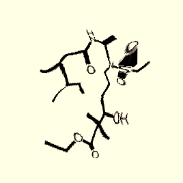 C=C(NC(=O)CC(C)[C@H](C)CC)N(CCCC(O)C(C)(C)C(=O)OCC)S(C)(=O)=O